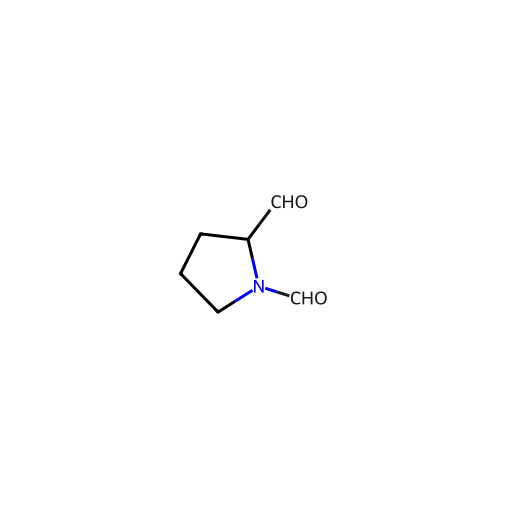 O=CC1CCCN1C=O